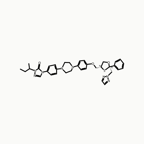 CCC(C)n1ncn(-c2ccc(N3CCN(c4ccc(OC[C@@H]5CO[C@@](Cn6nccn6)(c6ccccc6)S5)cc4)CC3)cc2)c1=O